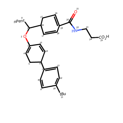 CCCCCC(OC1=CCC(c2ccc(C(C)(C)C)cc2)C=C1)C1C=CC(C(=O)NCCC(=O)O)=CC1